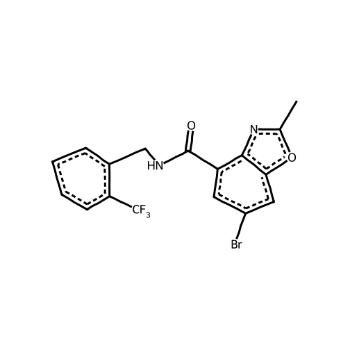 Cc1nc2c(C(=O)NCc3ccccc3C(F)(F)F)cc(Br)cc2o1